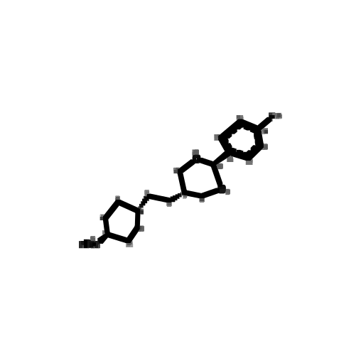 CCCCCCCCCC[C@H]1CC[C@H](CC[C@H]2CO[C@H](c3ccc(F)cc3)OC2)CC1